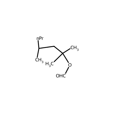 CCCC(C)CC(C)(C)OC=O